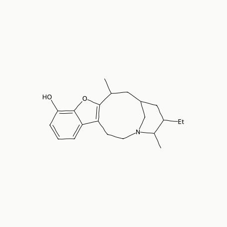 CCC1CC2CC(C)c3oc4c(O)cccc4c3CCN(C2)C1C